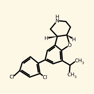 CC(C)c1cc(-c2ccc(Cl)cc2Cl)cc2c1O[C@H]1CCNC[C@@H]21